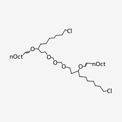 CCCCCCCCC=COC(CCCCCCCCl)CCOCOCOCCC(CCCCCCCCl)OC=CCCCCCCCC